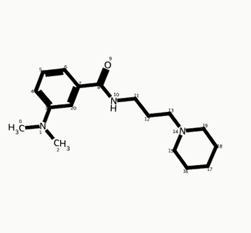 CN(C)c1cccc(C(=O)NCCCN2CCCCC2)c1